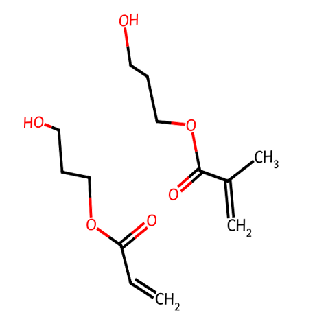 C=C(C)C(=O)OCCCO.C=CC(=O)OCCCO